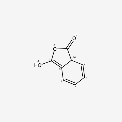 O=C1OC(O)=C2C=CC=CC12